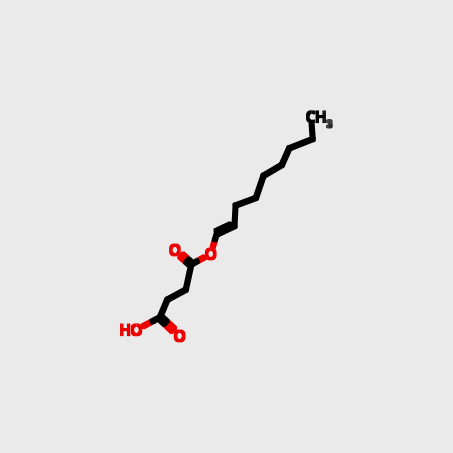 CCCCCCCC=COC(=O)CCC(=O)O